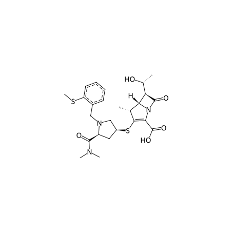 CSc1ccccc1CN1C[C@@H](SC2=C(C(=O)O)N3C(=O)[C@H]([C@@H](C)O)[C@H]3[C@H]2C)C[C@H]1C(=O)N(C)C